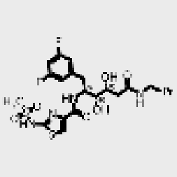 CC(C)CNC(=O)C[C@@H](O)[C@H](O)[C@H](Cc1cc(F)cc(F)c1)NC(=O)c1csc(NS(C)(=O)=O)n1